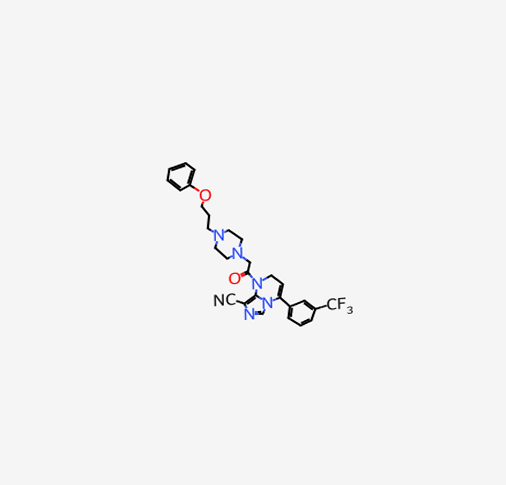 N#Cc1ncn2c1N(C(=O)CN1CCN(CCCOc3ccccc3)CC1)CC=C2c1cccc(C(F)(F)F)c1